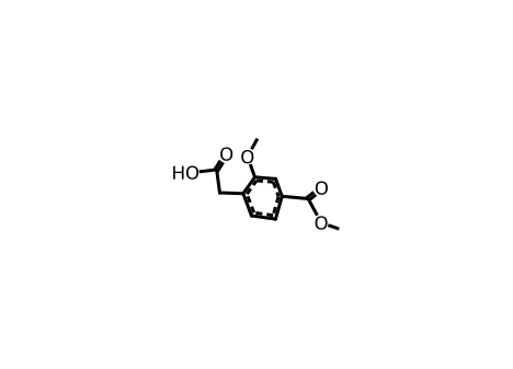 COC(=O)c1ccc(CC(=O)O)c(OC)c1